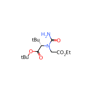 CCOC(=O)CN(C(N)=O)[C@H](C(=O)OC(C)(C)C)C(C)(C)C